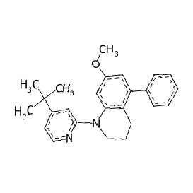 COc1cc(-c2ccccc2)c2c(c1)N(c1cc(C(C)(C)C)ccn1)CCC2